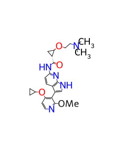 COc1nccc(OC2CC2)c1-c1c[nH]c2nc(NC(=O)[C@@H]3C[C@H]3OCCN(C)C)ccc12